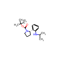 CC(C)Nc1ccccc1[C@@H]1CCCN1C(=O)OC(C)(C)C